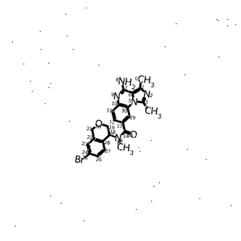 Cc1nc(C)n2c1c(N)nc1ccc(C(=O)N(C)[C@@H]3COCc4cc(Br)ccc43)cc12